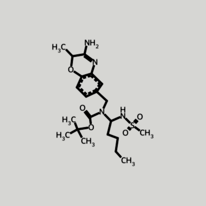 CCCCC(NS(C)(=O)=O)N(Cc1ccc2c(c1)N=C(N)C(C)O2)C(=O)OC(C)(C)C